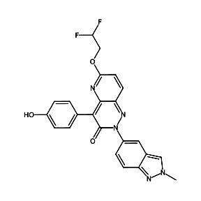 Cn1cc2cc(-n3nc4ccc(OCC(F)F)nc4c(-c4ccc(O)cc4)c3=O)ccc2n1